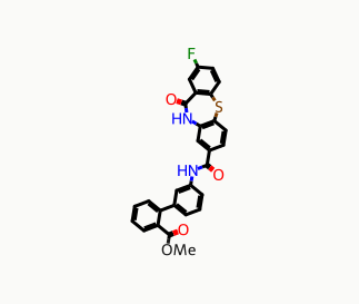 COC(=O)c1ccccc1-c1cccc(NC(=O)c2ccc3c(c2)NC(=O)c2cc(F)ccc2S3)c1